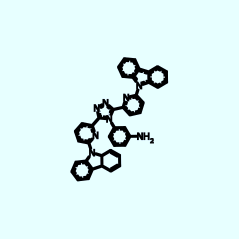 Nc1cccc(-n2c(-c3cccc(N4c5ccccc5C5C=CC=CC54)n3)nnc2-c2cccc(-n3c4ccccc4c4ccccc43)n2)c1